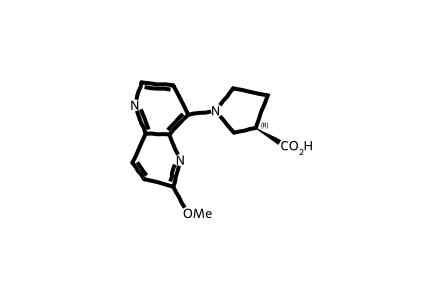 COc1ccc2nccc(N3CC[C@@H](C(=O)O)C3)c2n1